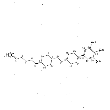 C=CCCCC[C@H]1CC[C@H](CC[C@H]2CC[C@H](c3cc(F)c(F)c(F)c3)CC2)CC1